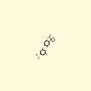 O=CC1Nc2ccc(Oc3c(Cl)cc([N+](=O)[O-])cc3Cl)cc2C12CCC2